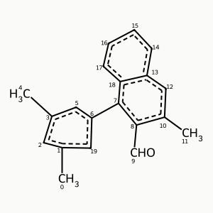 Cc1cc(C)cc(-c2c(C=O)c(C)cc3ccccc23)c1